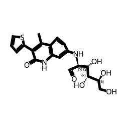 Cc1c(-c2cccs2)c(=O)[nH]c2cc(N[C@H](C=O)[C@H](O)[C@@H](O)[C@@H](O)CO)ccc12